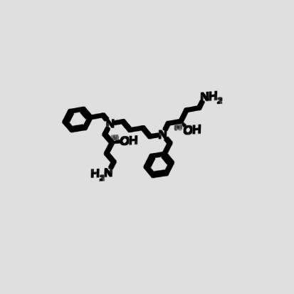 NCC[C@H](O)CN(CCCCN(Cc1ccccc1)C[C@@H](O)CCN)Cc1ccccc1